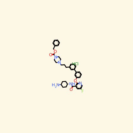 Cl.N[C@H]1CC[C@H](NC(=O)c2cc(F)cnc2Oc2cccc(-c3cccc(CCCN4CCN(C(=O)OCc5ccccc5)CC4)c3)c2)CC1